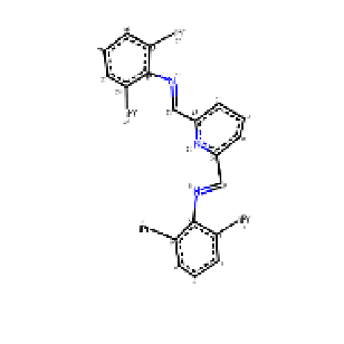 CC(C)c1cccc(C(C)C)c1N=Cc1cccc(C=Nc2c(C(C)C)cccc2C(C)C)n1